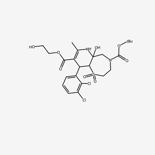 CC1=C(C(=O)OCCO)C(c2cccc(Cl)c2Cl)C2C(O)(CN(C(=O)OC(C)(C)C)CCS2(=O)=O)N1